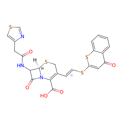 O=C(Cc1cscn1)NC1C(=O)N2C(C(=O)O)=C(/C=C/Sc3cc(=O)c4ccccc4s3)CS[C@H]12